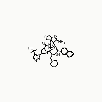 CC(C)(O)c1cnnn1[C@H]1C[C@@H](C(=O)NC2(C(=O)C(N)=O)CCOC2)N(C(=O)C(CC2CCCCC2)NC(=O)c2ccc3ccccc3c2)C1